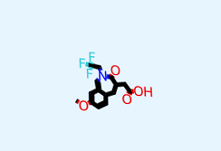 COC1=CC2=CN(CC(F)(F)F)C(=O)C(CC(=O)O)CC2C=C1